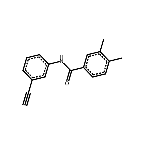 C#Cc1cccc(NC(=O)c2ccc(C)c(C)c2)c1